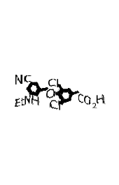 CCNc1cc(C#N)cc(COc2c(Cl)cc(CC(=O)O)cc2Cl)c1